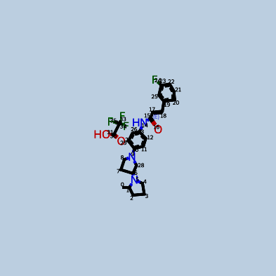 CC1CCCN1C1CCN(c2ccc(NC(=O)/C=C/c3cccc(F)c3)cc2)C1.O=C(O)C(F)(F)F